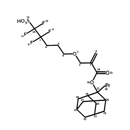 C=C(COCCCC(F)(F)C(F)(F)S(=O)(=O)O)C(=O)OC1(C(C)C)C2CC3CC(C2)CC1C3